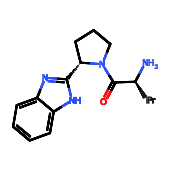 CC(C)[C@H](N)C(=O)N1CCC[C@H]1c1nc2ccccc2[nH]1